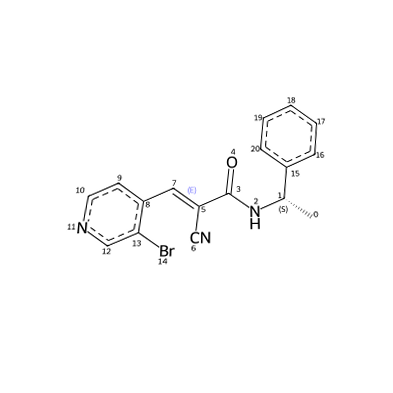 C[C@H](NC(=O)/C(C#N)=C/c1ccncc1Br)c1ccccc1